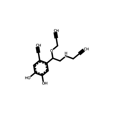 C#CCNCC(OCC#C)c1cc(O)c(O)cc1C#C